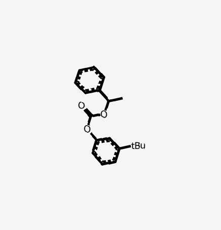 CC(OC(=O)Oc1cccc(C(C)(C)C)c1)c1ccccc1